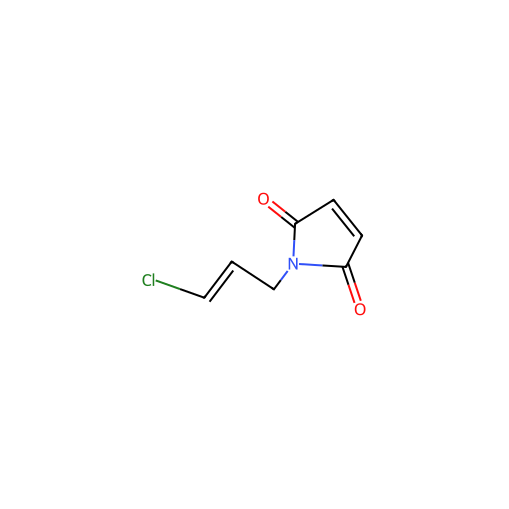 O=C1C=CC(=O)N1CC=CCl